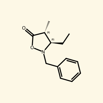 CC[C@@H]1[C@@H](C)C(=O)ON1Cc1ccccc1